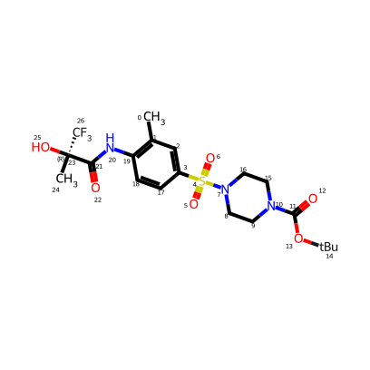 Cc1cc(S(=O)(=O)N2CCN(C(=O)OC(C)(C)C)CC2)ccc1NC(=O)[C@@](C)(O)C(F)(F)F